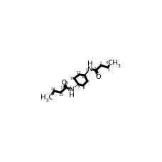 CCCC(=O)N[C@H]1CC[C@H](NC(=O)CCC)CC1